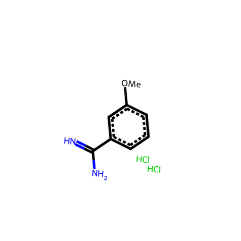 COc1cccc(C(=N)N)c1.Cl.Cl